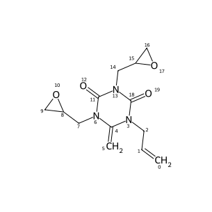 C=CCN1C(=C)N(CC2CO2)C(=O)N(CC2CO2)C1=O